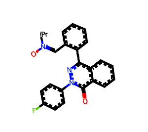 CC(C)/[N+]([O-])=C\c1ccccc1-c1nn(-c2ccc(F)cc2)c(=O)c2ccccc12